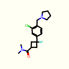 CN(C)C(=O)C1CC(F)(c2ccc(CN3CCCC3)c(Cl)c2)C1